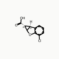 O=C(O)[C@H]1C2Oc3c(Cl)cccc3[C@@H]21